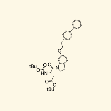 CC(C)(C)OC(=O)C[C@H](NC(=O)OC(C)(C)C)C(=O)N1CCc2ccc(OCCc3ccc(-c4ccccc4)cc3)cc21